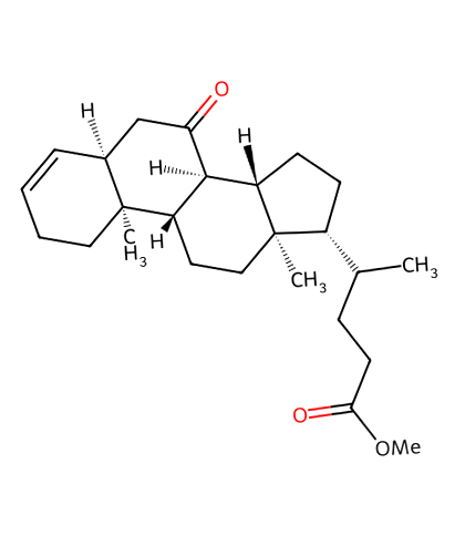 COC(=O)CCC(C)[C@H]1CC[C@H]2[C@@H]3C(=O)C[C@@H]4C=CCC[C@]4(C)[C@H]3CC[C@]12C